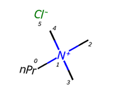 CCC[N+](C)(C)C.[Cl-]